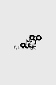 CN(C(=O)OCC1c2ccccc2-c2ccccc21)C(Cc1cccc(C(F)(F)F)c1)C(=O)OC(C)(C)C